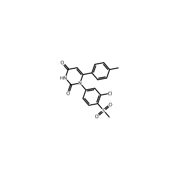 Cc1ccc(-c2cc(=O)[nH]c(=O)n2-c2ccc(S(C)(=O)=O)c(Cl)c2)cc1